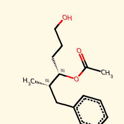 CC(=O)O[C@@H](CCCO)[C@@H](C)Cc1ccccc1